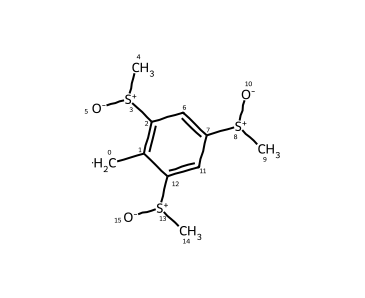 [CH2]c1c([S+](C)[O-])cc([S+](C)[O-])cc1[S+](C)[O-]